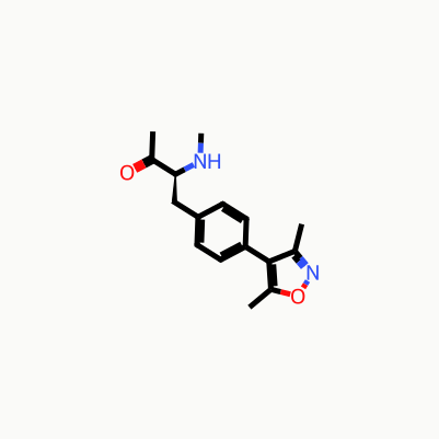 CN[C@@H](Cc1ccc(-c2c(C)noc2C)cc1)C(C)=O